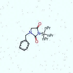 CCC[Si](CCC)(CCC)N1C(=O)CN(Cc2ccccc2)C1=O